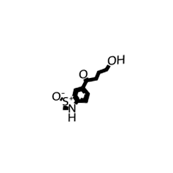 O=C(CCCO)c1ccc2c(c1)[S+]([O-])CN2